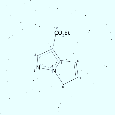 CCOC(=O)c1cnn2c1C=CC2